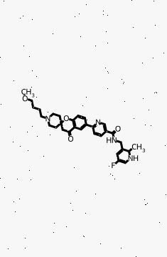 COCCCCN1CCC2(CC1)CC(=O)c1cc(-c3ccc(C(=O)NCC4=CC(F)=CNC4C)cn3)ccc1O2